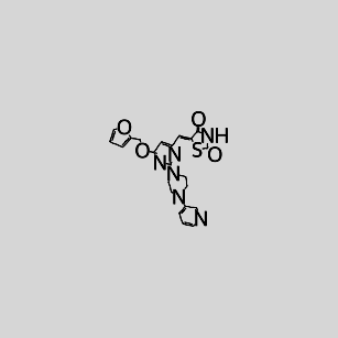 O=C1NC(=O)C(=Cc2cc(OCc3ccco3)nc(N3CCN(c4cccnc4)CC3)n2)S1